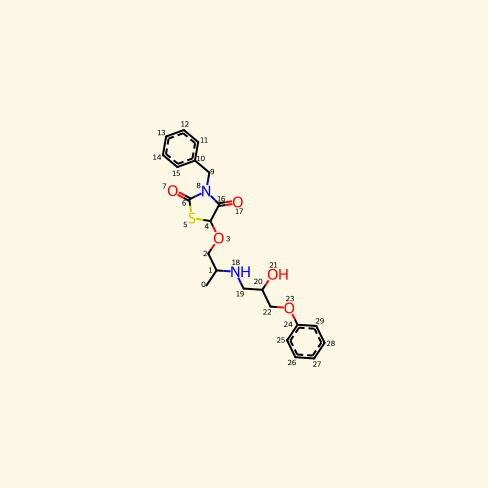 CC(COC1SC(=O)N(Cc2ccccc2)C1=O)NCC(O)COc1ccccc1